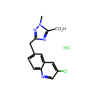 Cl.Cn1nc(Cc2ccc3ncc(Cl)cc3c2)nc1C(=O)O